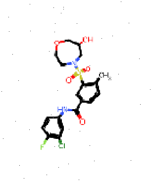 Cc1ccc(C(=O)Nc2ccc(F)c(Cl)c2)cc1S(=O)(=O)N1CCOC[C@@H](O)C1